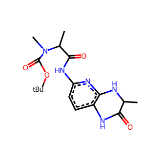 CC1Nc2nc(NC(=O)C(C)N(C)C(=O)OC(C)(C)C)ccc2NC1=O